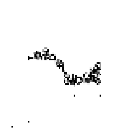 Cc1cc(NC(=O)Nc2cnc3c(Cl)cnn3c2C2CCCC2)cnc1-c1noc(CCCCN2CCN(c3ccc4c(c3)CN(C3CCONO3)C4=O)CC2)n1